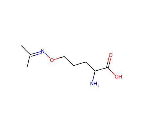 CC(C)=NOCCCC(N)C(=O)O